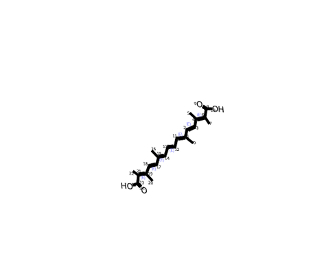 CC(/C=C/C(C)=C(\C)C(=O)O)=C\C=C\C=C(C)\C=C\C(C)=C(/C)C(=O)O